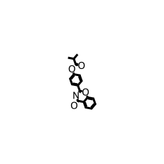 CC(C)C(=O)Oc1ccc(-c2nc(=O)c3ccccc3o2)cc1